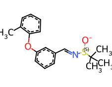 Cc1ccccc1Oc1cccc(C=N[S@+]([O-])C(C)(C)C)c1